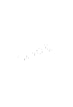 CC(C)C(=O)N1CCN(c2ccc(C(N)=O)cc2)CC1